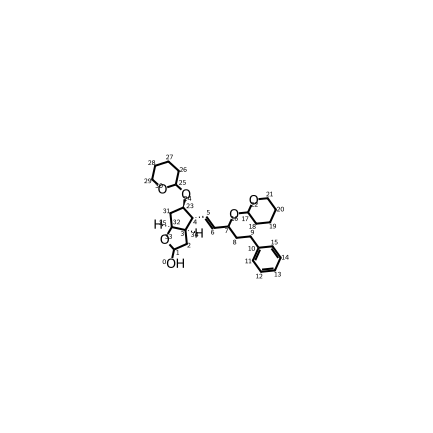 OC1C[C@@H]2[C@@H](C=CC(CCc3ccccc3)OC3CCCCO3)[C@H](OC3CCCCO3)C[C@@H]2O1